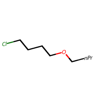 CCCCOCCCCCl